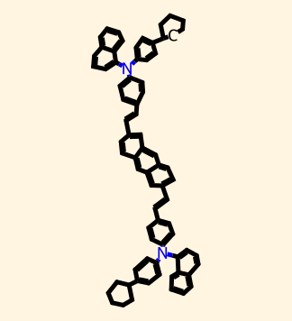 C(=Cc1ccc2cc3cc(C=Cc4ccc(N(c5ccc(C6CCCCC6)cc5)c5cccc6ccccc56)cc4)ccc3cc2c1)c1ccc(N(c2ccc(C3CCCCC3)cc2)c2cccc3ccccc23)cc1